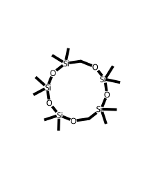 C[Si]1(C)CO[Si](C)(C)O[Si](C)(C)O[Si](C)(C)CO[Si](C)(C)O1